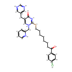 O=C(CCCCCCCSc1nc(=O)c(Cc2cncnc2)cn1Cc1ccccn1)c1ccc(Cl)cc1